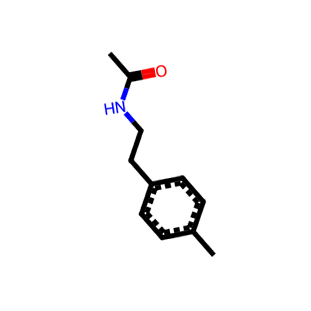 CC(=O)NCCc1ccc(C)cc1